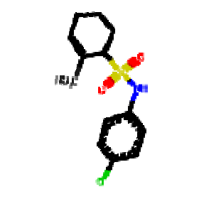 O=C(O)C1=CCCCC1S(=O)(=O)Nc1ccc(Cl)cc1